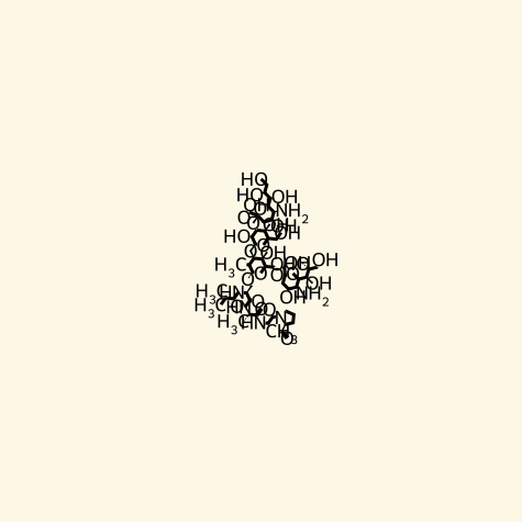 CC(C)C(=O)N[C@@H](CO[C@H]1OC(CO[C@]2(C(=O)O)C[C@@H](O)[C@@H](N)C([C@H](O)[C@H](O)CO)O2)[C@H](O)[C@H](O[C@@H]2OC(CO)[C@H](O)C(O[C@]3(C(=O)O)C[C@@H](O)[C@@H](N)C([C@H](O)[C@H](O)CO)O3)[C@@H]2O)C1C)C(=O)N[C@@H](C)C(=O)N[C@@H](C)C(=O)N1CCC[C@H]1C=O